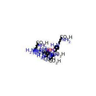 CC(C)CC(N)C(=O)O.CCC(C)C(N)C(=O)O.N=C(N)NCCCC(N)C(=O)O.NC(Cc1c[nH]cn1)C(=O)O.NC(Cc1ccc(O)cc1)C(=O)O.NC(Cc1ccccc1)C(=O)O.NCCCCC(N)C(=O)O